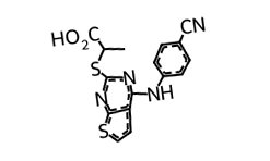 CC(Sc1nc(Nc2ccc(C#N)cc2)c2ccsc2n1)C(=O)O